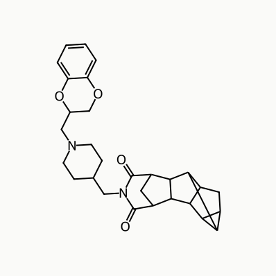 O=C1C2CC(C(=O)N1CC1CCN(CC3COc4ccccc4O3)CC1)C1C2C2C3CC4C2C4C31